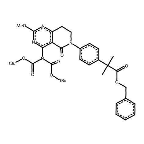 COc1nc2c(c(N(C(=O)OC(C)(C)C)C(=O)OC(C)(C)C)n1)C(=O)N(c1ccc(C(C)(C)C(=O)OCc3ccccc3)cc1)CC2